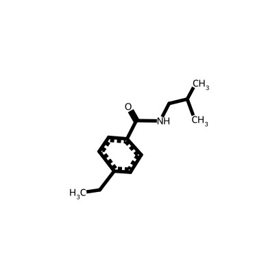 CCc1ccc(C(=O)NCC(C)C)cc1